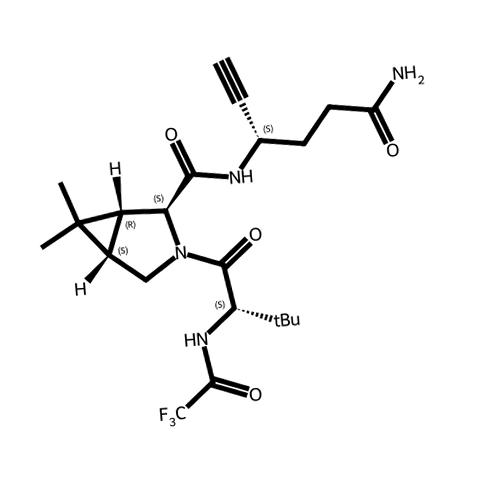 C#C[C@H](CCC(N)=O)NC(=O)[C@@H]1[C@@H]2[C@H](CN1C(=O)[C@@H](NC(=O)C(F)(F)F)C(C)(C)C)C2(C)C